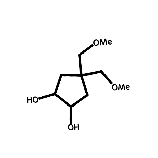 COCC1(COC)CC(O)C(O)C1